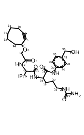 CC(C)C(NC(=O)COC1C#CCCCCC1)C(=O)NC(CCCNC(N)=O)C(=O)Nc1ccc(CO)cc1